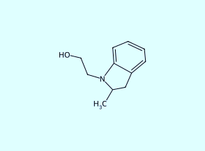 CC1Cc2ccccc2N1CCO